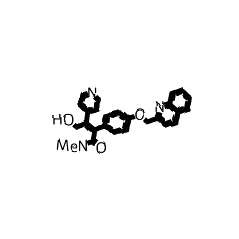 CNC(=O)/C(=C(\CO)c1ccncc1)c1ccc(OCc2ccc3ccccc3n2)cc1